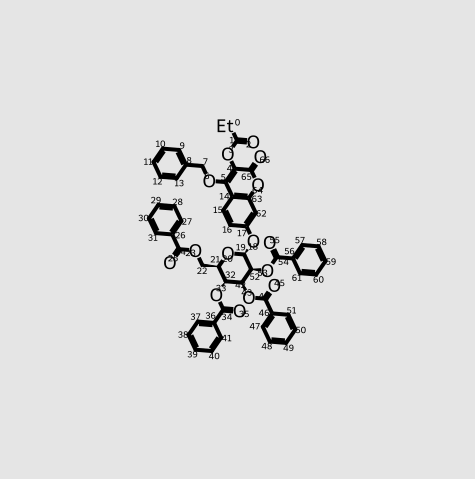 CCC(=O)Oc1c(OCc2ccccc2)c2ccc(O[C@H]3O[C@H](COC(=O)c4ccccc4)[C@@H](OC(=O)c4ccccc4)[C@H](OC(=O)c4ccccc4)[C@@H]3OC(=O)c3ccccc3)cc2oc1=O